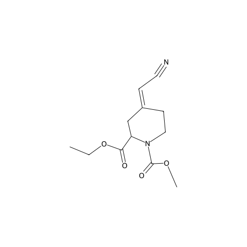 CCOC(=O)C1CC(=CC#N)CCN1C(=O)OC